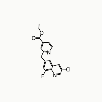 CCOC(=O)c1ccnc(Cc2cc(F)c3ncc(Cl)cc3c2)c1